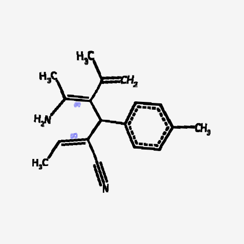 C=C(C)/C(=C(\C)N)C(/C(C#N)=C/C)c1ccc(C)cc1